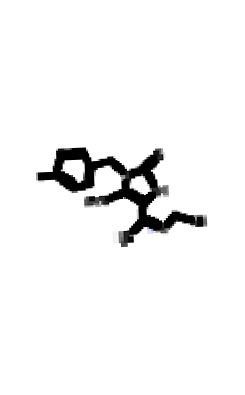 CNc1c(/C(N)=N\CS)[nH]c(=O)n1Cc1ccc(C)cc1